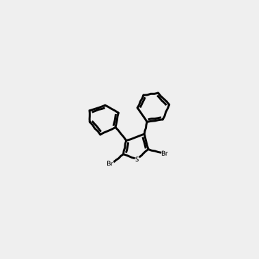 Brc1sc(Br)c(-c2ccccc2)c1-c1ccccc1